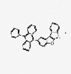 c1ccc(-c2c3ccccc3c(-c3ccc4oc5sc6ccccc6c5c4c3)c3ccccc23)cc1